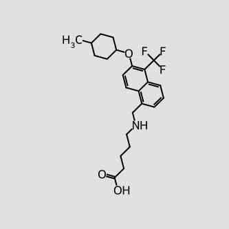 CC1CCC(Oc2ccc3c(CNCCCCC(=O)O)cccc3c2C(F)(F)F)CC1